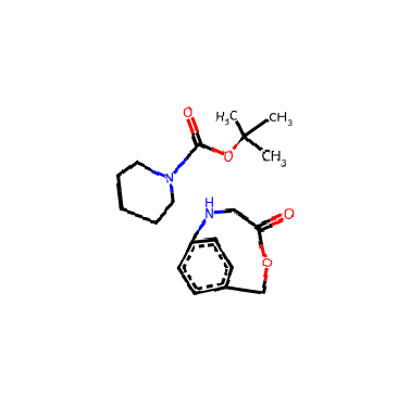 CC(C)(C)OC(=O)N1CCCCC1.O=C1CNc2ccc(cc2)CO1